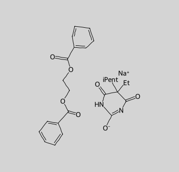 CCCC(C)C1(CC)C(=O)N=C([O-])NC1=O.O=C(OCCOC(=O)c1ccccc1)c1ccccc1.[Na+]